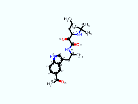 CCCC(NC(C)(C)C)C(=O)C(=O)NC(C)Cc1c[nH]c2ccc(C(C)=O)cc12